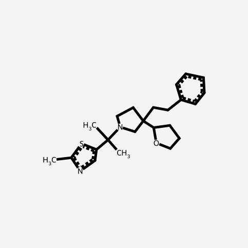 Cc1ncc(C(C)(C)N2CCC(CCc3ccccc3)(C3CCCO3)C2)s1